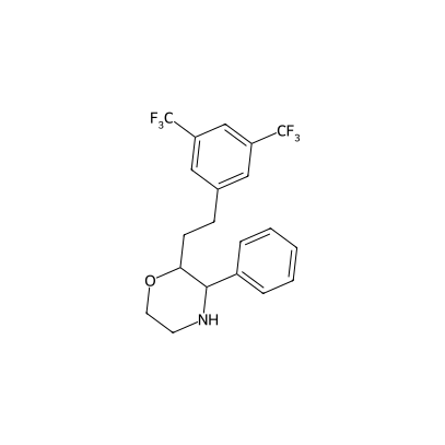 FC(F)(F)c1cc(CCC2OCCNC2c2ccccc2)cc(C(F)(F)F)c1